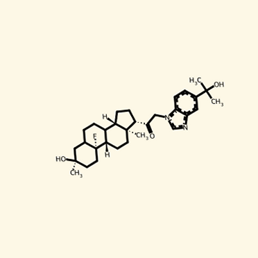 CC(C)(O)c1ccc2c(c1)ncn2CC(=O)[C@H]1CC[C@H]2C3CCC4C[C@](C)(O)CC[C@]4(F)[C@H]3CC[C@]12C